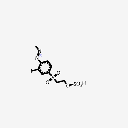 C/N=N/c1ccc(S(=O)(=O)CCOS(=O)(=O)O)cc1I